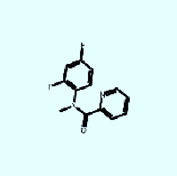 CN(C(=O)c1ccccn1)c1ccc(F)cc1F